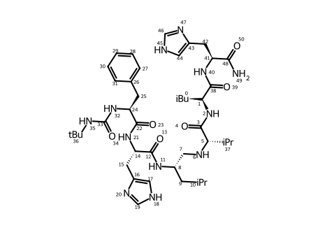 CC[C@H](C)[C@H](NC(=O)[C@@H](NC[C@H](CC(C)C)NC(=O)[C@H](Cc1c[nH]cn1)NC(=O)[C@H](Cc1ccccc1)NC(=O)NC(C)(C)C)C(C)C)C(=O)N[C@@H](Cc1c[nH]cn1)C(N)=O